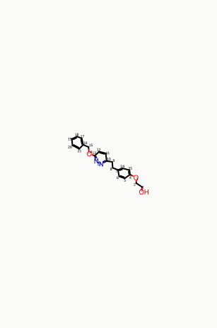 OCCOc1ccc(CCc2ccc(OCc3ccccc3)nn2)cc1